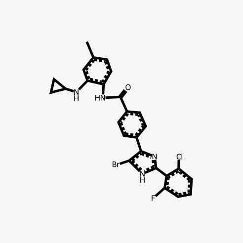 Cc1ccc(NC(=O)c2ccc(-c3nc(-c4c(F)cccc4Cl)[nH]c3Br)cc2)c(NC2CC2)c1